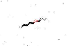 CCC=CCCOCC(=O)O